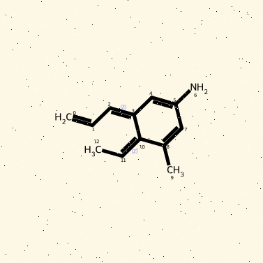 C=C/C=c1/cc(N)cc(C)/c1=C/C